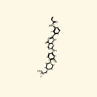 C=CC(=O)Nc1cccc(-c2nc(=O)c3cnc(Nc4ccc(N5CCN(C[C@H](C)O)CC5)c(F)c4)nc3[nH]2)c1